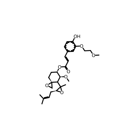 COCCOc1cc(/C=C/C(=O)O[C@@H]2CC[C@]3(CO3)C(C3(C)O[C@H]3CC=C(C)C)[C@@H]2OC)ccc1O